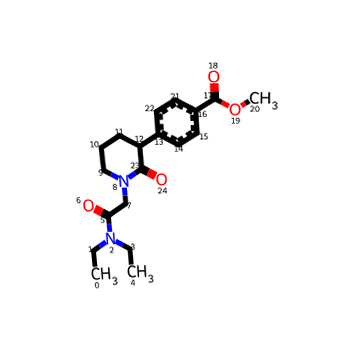 CCN(CC)C(=O)CN1CCCC(c2ccc(C(=O)OC)cc2)C1=O